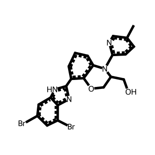 Cc1ccc(N2c3cccc(-c4nc5c(Br)cc(Br)cc5[nH]4)c3OCC2CO)nc1